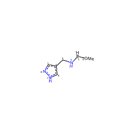 COBNCc1cn[nH]c1